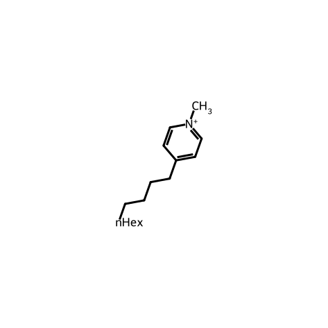 CCCCCCCCCCc1cc[n+](C)cc1